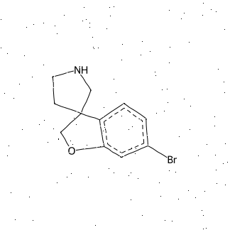 Brc1ccc2c(c1)OCC21CCNC1